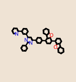 c1ccc(-c2nc(-c3ccc(-c4ccc(-c5cccc6c5oc5ccccc56)c5oc6ccccc6c45)cc3)cc(-c3cccc(-c4ccccn4)c3)n2)cc1